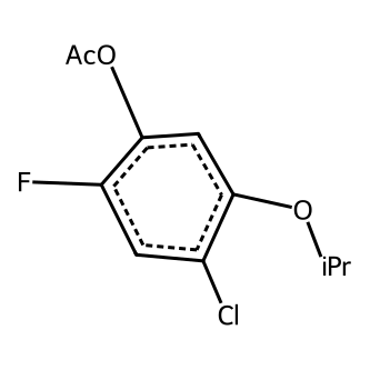 CC(=O)Oc1cc(OC(C)C)c(Cl)cc1F